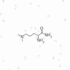 CN(C)CCC[C@H](N)C(N)=O